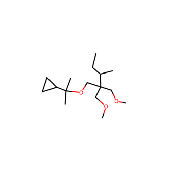 CCC(C)C(COC)(COC)COC(C)(C)C1CC1